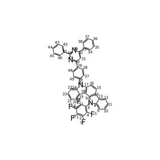 Fc1c(F)c(F)c(-n2c3ccccc3c3ccc4c(c5ccccc5n4-c4ccc(-c5cc(-c6ccccc6)nc(-c6ccccc6)n5)cc4)c32)c(F)c1F